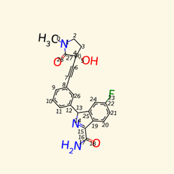 CN1CC[C@@](O)(C#Cc2cccc(C3N=C(C(N)=O)c4ccc(F)cc43)c2)C1=O